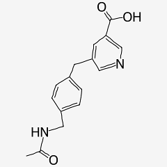 CC(=O)NCc1ccc(Cc2cncc(C(=O)O)c2)cc1